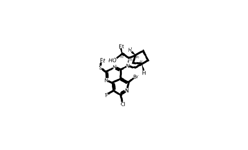 CCSc1nc(N2C[C@H]3CC[C@H](C3)[C@H]2[C@@H](O)CC)c2c(Br)nc(Cl)c(F)c2n1